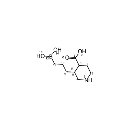 O=C(O)C1CCNC[C@@H]1CCCB(O)O